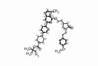 COc1ccc(CCN2CC(CCOc3nc(-c4ccc(N5CCN(C(=O)OC(C)(C)C)CC5)cn4)cc4ncn(C)c34)CC2=O)cc1